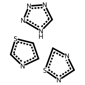 c1cscn1.c1ncsn1.c1nnn[nH]1